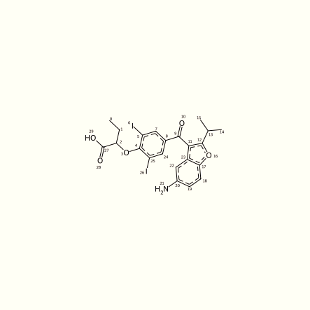 CCC(Oc1c(I)cc(C(=O)c2c(C(C)C)oc3ccc(N)cc23)cc1I)C(=O)O